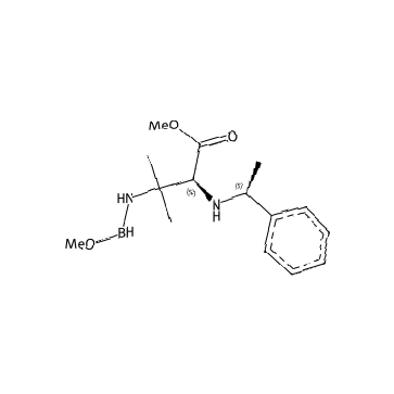 COBNC(C)(C)[C@H](N[C@@H](C)c1ccccc1)C(=O)OC